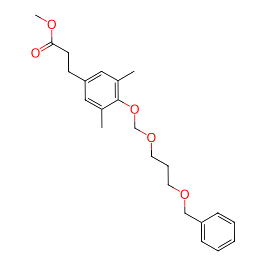 COC(=O)CCc1cc(C)c(OCOCCCOCc2ccccc2)c(C)c1